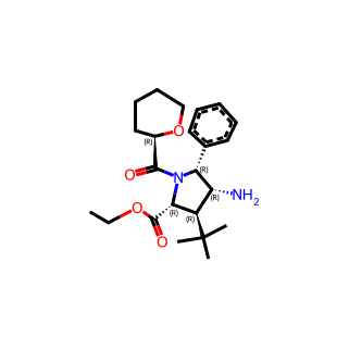 CCOC(=O)[C@H]1[C@H](C(C)(C)C)[C@@H](N)[C@@H](c2ccccc2)N1C(=O)[C@H]1CCCCO1